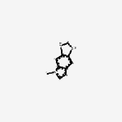 Cn1ccc2cc3c(cc21)SCS3